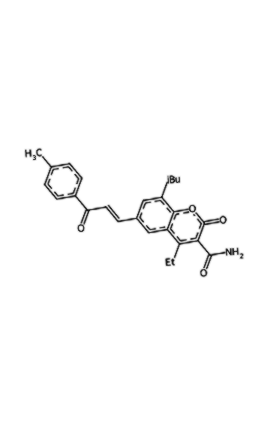 CCc1c(C(N)=O)c(=O)oc2c(C(C)CC)cc(C=CC(=O)c3ccc(C)cc3)cc12